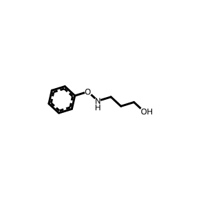 OCCCNOc1ccccc1